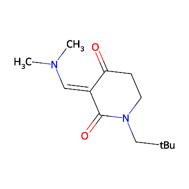 CN(C)C=C1C(=O)CCN(CC(C)(C)C)C1=O